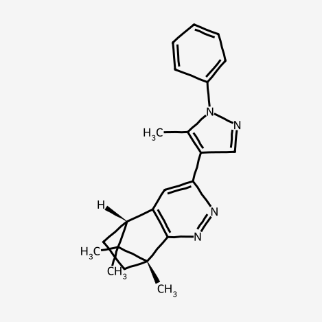 Cc1c(-c2cc3c(nn2)[C@]2(C)CC[C@H]3C2(C)C)cnn1-c1ccccc1